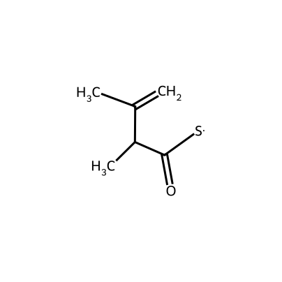 C=C(C)C(C)C(=O)[S]